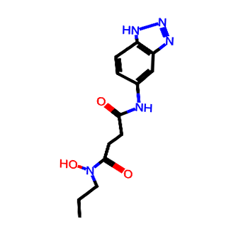 CCCN(O)C(=O)CCC(=O)Nc1ccc2[nH]nnc2c1